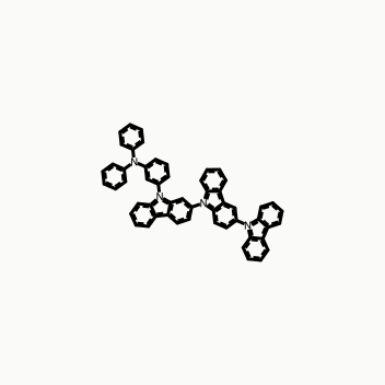 c1ccc(N(c2ccccc2)c2cccc(-n3c4ccccc4c4ccc(-n5c6ccccc6c6cc(-n7c8ccccc8c8ccccc87)ccc65)cc43)c2)cc1